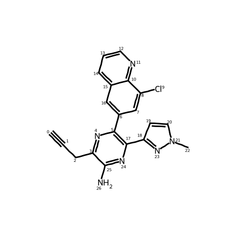 C#CCc1nc(-c2cc(Cl)c3ncccc3c2)c(-c2ccn(C)n2)nc1N